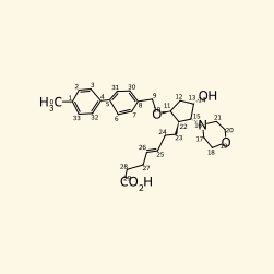 Cc1ccc(-c2ccc(CO[C@H]3C[C@H](O)[C@H](N4CCOCC4)[C@H]3CCC=CCCC(=O)O)cc2)cc1